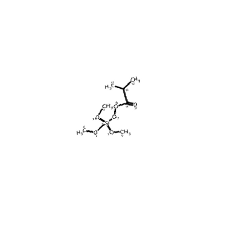 CO[Si](OC)(OC)OOC(=O)C(C)C